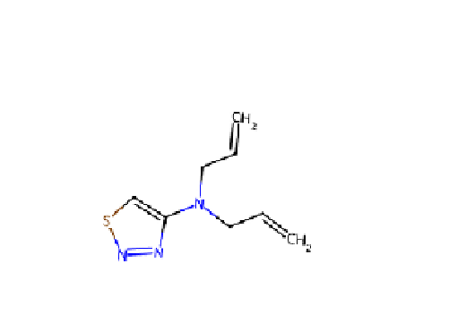 C=CCN(CC=C)c1csnn1